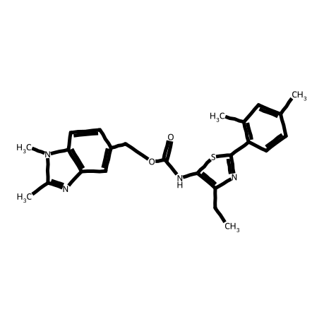 CCc1nc(-c2ccc(C)cc2C)sc1NC(=O)OCc1ccc2c(c1)nc(C)n2C